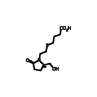 O=C(O)CCCSCCN1C(=O)CC[C@@H]1CO